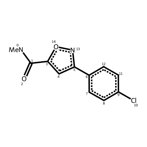 CNC(=O)c1cc(-c2ccc(Cl)cc2)no1